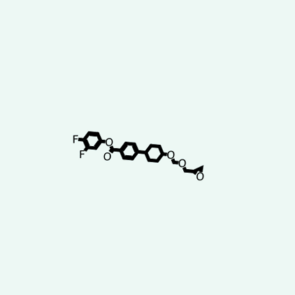 O=C(Oc1ccc(F)c(F)c1)c1ccc(C2CCC(OCOCC3CO3)CC2)cc1